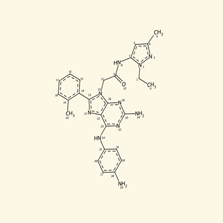 CCn1nc(C)cc1NC(=O)Cn1c(-c2ccccc2C)nc2c(Nc3ccc(N)cc3)nc(N)nc21